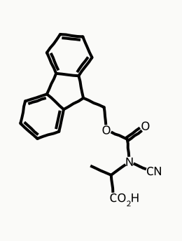 CC(C(=O)O)N(C#N)C(=O)OCC1c2ccccc2-c2ccccc21